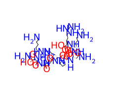 C[C@H](NC(=O)[C@@H](NC(=O)C(N)CCCCN)[C@@H](O)CN)C(=O)NCC(=O)N[C@H](CCCN)C(=O)N1CCC[C@H]1C(=O)N[C@@H](C[C@@H](N)O)C(=O)N[C@@H](CCCCN)C(=O)N/C(=C\CCNC(=N)N)C(=O)O